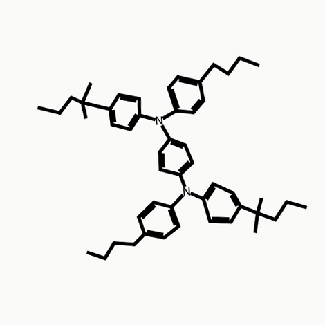 CCCCc1ccc(N(c2ccc(N(c3ccc(CCCC)cc3)c3ccc(C(C)(C)CCC)cc3)cc2)c2ccc(C(C)(C)CCC)cc2)cc1